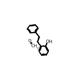 C=O.Oc1ccccc1CCc1ccccc1